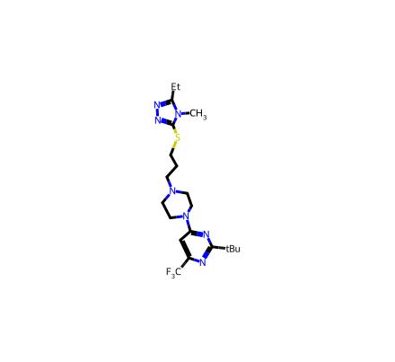 CCc1nnc(SCCCN2CCN(c3cc(C(F)(F)F)nc(C(C)(C)C)n3)CC2)n1C